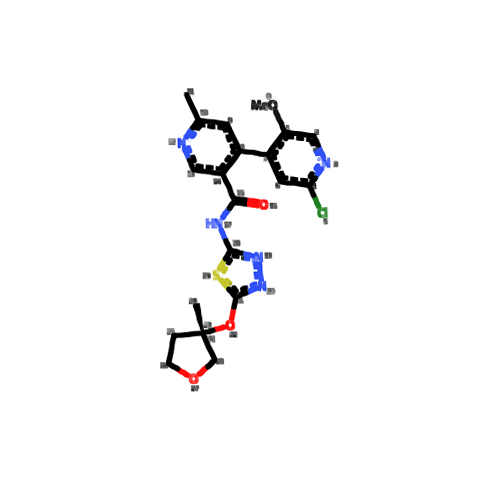 COc1cnc(Cl)cc1-c1cc(C)ncc1C(=O)Nc1nnc(O[C@@]2(C)CCOC2)s1